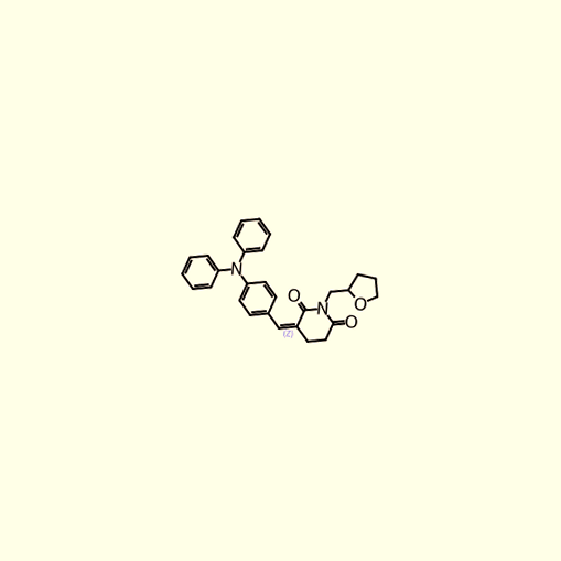 O=C1CC/C(=C/c2ccc(N(c3ccccc3)c3ccccc3)cc2)C(=O)N1CC1CCCO1